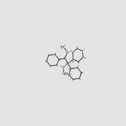 CCOC(C1CCCCC1)C(O[SiH3])(C1CCCCC1)C1CCCCC1